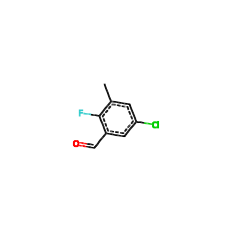 Cc1cc(Cl)cc(C=O)c1F